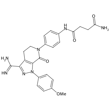 COc1ccc(-n2nc(C(=N)N)c3c2C(=O)N(c2ccc(NC(=O)CCC(N)=O)cc2)CC3)cc1